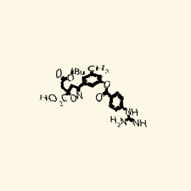 Cc1cc(OC(=O)c2ccc(NC(=N)N)cc2)cc(C2=NOC(CC(=O)OC(C)(C)C)(C(=O)O)C2)c1